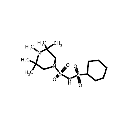 CN1C(C)(C)CN(S(=O)(=O)NS(=O)(=O)C2CCCCC2)CC1(C)C